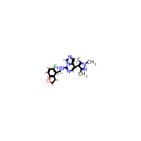 Cc1nn(C)c(C)c1-c1cnc(NCc2c(F)ccc3c2CCO3)n2cncc12